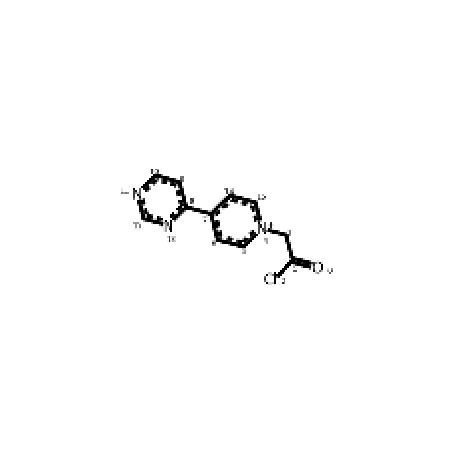 O=C(Cl)C[n+]1ccc(-c2ccncn2)cc1